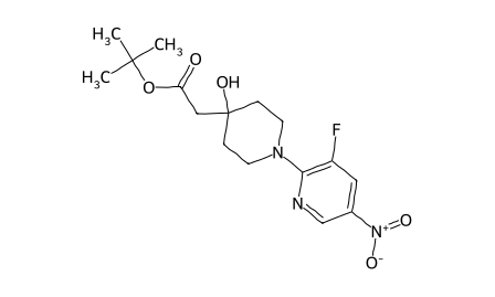 CC(C)(C)OC(=O)CC1(O)CCN(c2ncc([N+](=O)[O-])cc2F)CC1